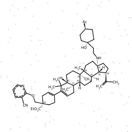 C=C(C)[C@@H]1CC[C@]2(NCC[C@]3(O)CC[C@H](C(C)=O)CC3)CC[C@]3(C)[C@H](CC[C@@H]4[C@@]5(C)CC=C(C6=CC[C@@](COc7ncccc7C#N)(C(=O)OCC)CC6)C(C)(C)[C@@H]5CC[C@]43C)[C@@H]12